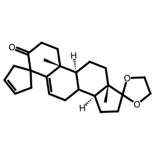 C[C@]12CCC(=O)C3(CC=CC3)C1=CCC1[C@@H]2CC[C@@]2(C)[C@H]1CCC21OCCO1